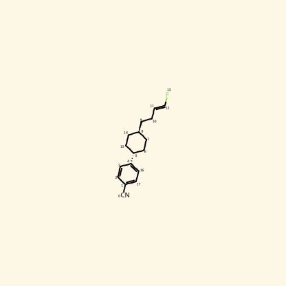 N#Cc1ccc([C@H]2CC[C@H](CCC=CF)CC2)cc1